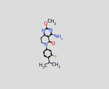 COc1nc(N)c2c(n1)CCN(c1ccc(C(C)C)c(F)c1)C2=O